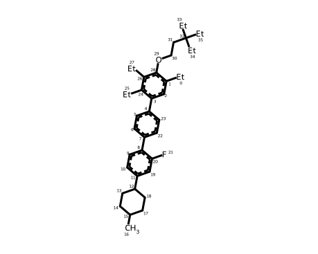 CCc1cc(-c2ccc(-c3ccc(C4CCC(C)CC4)cc3F)cc2)c(CC)c(CC)c1OCCC(CC)(CC)CC